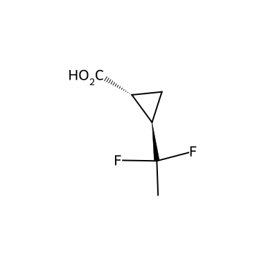 CC(F)(F)[C@@H]1C[C@H]1C(=O)O